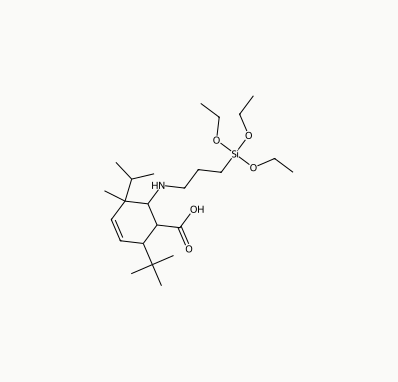 CCO[Si](CCCNC1C(C(=O)O)C(C(C)(C)C)C=CC1(C)C(C)C)(OCC)OCC